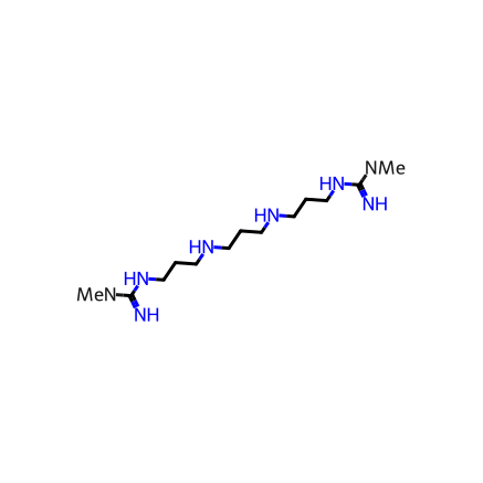 CNC(=N)NCCCNCCCNCCCNC(=N)NC